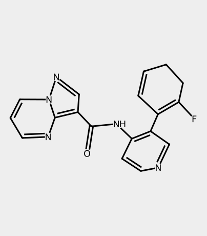 O=C(Nc1ccncc1C1=C(F)CCC=C1)c1cnn2cccnc12